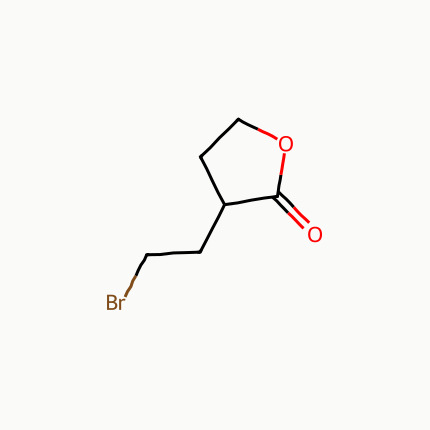 O=C1OCCC1CCBr